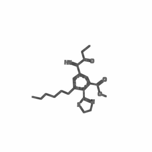 CCCCCCc1cc(C(=N)C(=O)CC)cc(C(=O)OC)c1C1=NCCS1